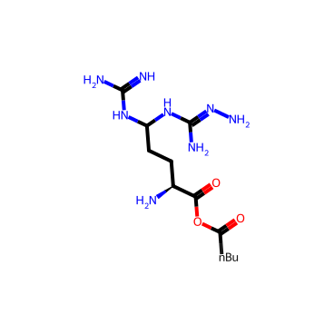 CCCCC(=O)OC(=O)[C@@H](N)CCC(NC(=N)N)NC(N)=NN